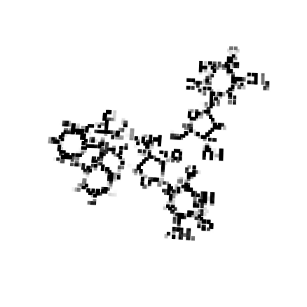 Cc1cn([C@@H]2O[C@H](CO[Si](c3ccccc3)(c3ccccc3)C(C)(C)C)C(O)[C@@H]2OC[C@H]2O[C@@H](n3cc(C)c(=O)[nH]c3=O)C[C@H]2O)c(=O)[nH]c1=O